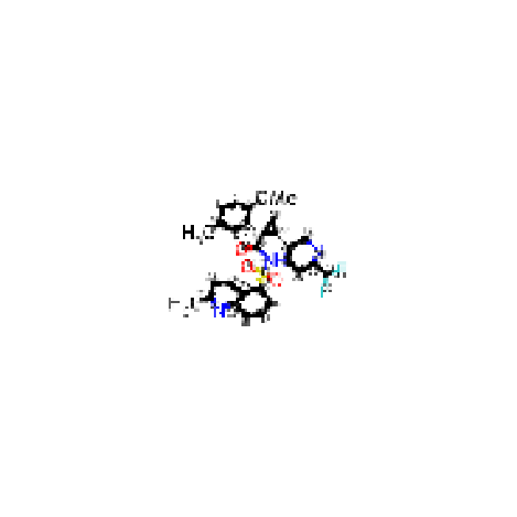 COc1ccc(C)cc1[C@]1(C(=O)NS(=O)(=O)c2cccc3nc(C)ccc23)C[C@@H]1c1ccc(C(F)F)nc1